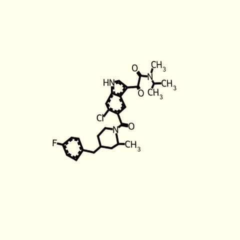 CC(C)N(C)C(=O)C(=O)c1c[nH]c2cc(Cl)c(C(=O)N3CCC(Cc4ccc(F)cc4)CC3C)cc12